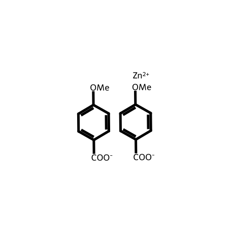 COc1ccc(C(=O)[O-])cc1.COc1ccc(C(=O)[O-])cc1.[Zn+2]